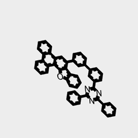 c1ccc(-c2nc(-c3ccccc3)nc(-c3cccc(-c4cccc(-c5cc6c7ccccc7c7ccccc7c6c6oc7ccccc7c56)c4)c3)n2)cc1